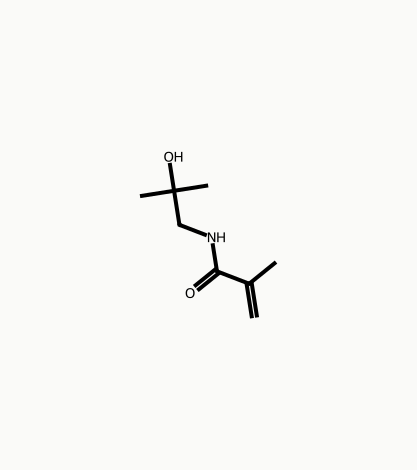 C=C(C)C(=O)NCC(C)(C)O